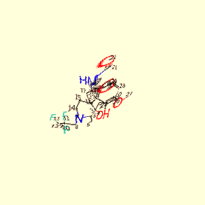 CCCC1(O)C(C)N(CC(F)(F)CF)CCC1(CC(=O)NC=O)c1cc(OC)ccc1C